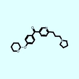 O=C(c1ccc(O[C@H]2CCCCO2)cc1)c1ccc(CCCN2CCCC2)nc1